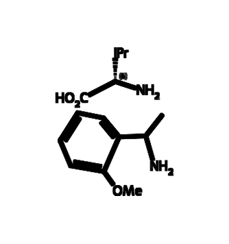 CC(C)[C@H](N)C(=O)O.COc1ccccc1C(C)N